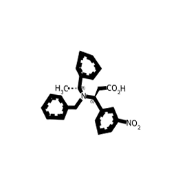 C[C@H](c1ccccc1)N(Cc1ccccc1)[C@@H](CC(=O)O)c1cccc([N+](=O)[O-])c1